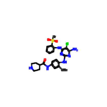 COc1cc(NC(=O)C2CCNCC2)ccc1Nc1nc(N)c(Cl)c(Nc2ccccc2S(=O)(=O)C(C)C)n1